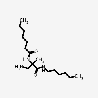 CCCCCCNC(=O)C(C)(CN)NC(=O)CCCCCC